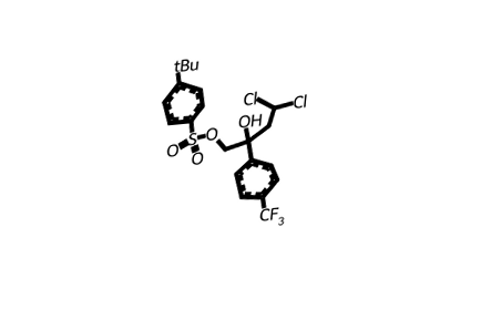 CC(C)(C)c1ccc(S(=O)(=O)OCC(O)(CC(Cl)Cl)c2ccc(C(F)(F)F)cc2)cc1